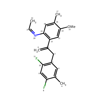 C=C(Cc1cc(C)c(F)cc1F)c1cc(OC)c(C)cc1/N=C\C